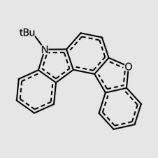 CC(C)(C)n1c2ccccc2c2c3c(ccc21)oc1ccccc13